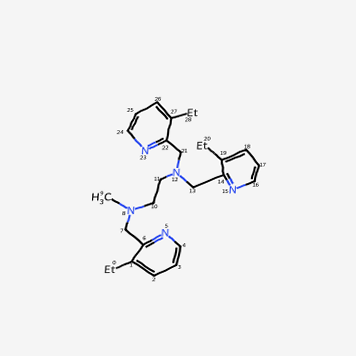 CCc1cccnc1CN(C)CCN(Cc1ncccc1CC)Cc1ncccc1CC